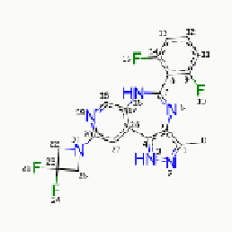 Cc1n[nH]c2c1N=C(c1c(F)cccc1F)Nc1cnc(N3CC(F)(F)C3)cc1-2